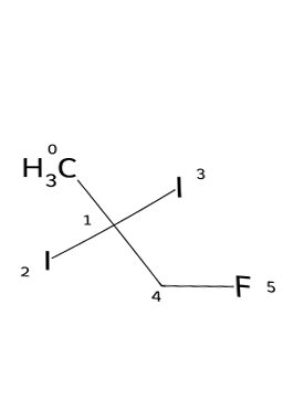 CC(I)(I)CF